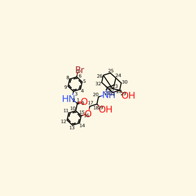 O=C(Nc1ccc(Br)cc1)c1ccccc1OCC(O)CNC12CC3CC(CC(O)(C3)C1)C2